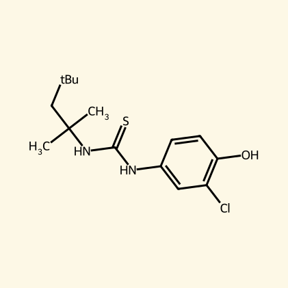 CC(C)(C)CC(C)(C)NC(=S)Nc1ccc(O)c(Cl)c1